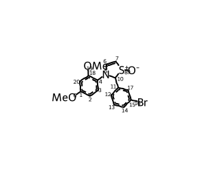 COc1ccc(N2C=C[S+]([O-])C2c2cccc(Br)c2)c(OC)c1